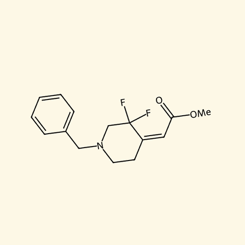 COC(=O)/C=C1/CCN(Cc2ccccc2)CC1(F)F